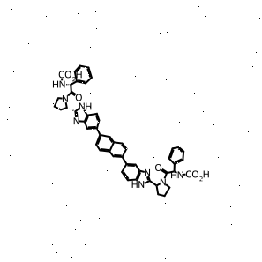 O=C(O)NC(C(=O)N1CCCC1c1nc2cc(-c3ccc4cc(-c5ccc6[nH]c([C@@H]7CCCN7C(=O)[C@H](NC(=O)O)c7ccccc7)nc6c5)ccc4c3)ccc2[nH]1)c1ccccc1